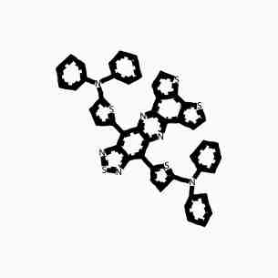 c1ccc(N(c2ccccc2)c2ccc(-c3c4nsnc4c(-c4ccc(N(c5ccccc5)c5ccccc5)s4)c4nc5c6ccsc6c6sccc6c5nc34)s2)cc1